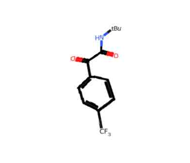 CC(C)(C)NC(=O)C(=O)c1ccc(C(F)(F)F)cc1